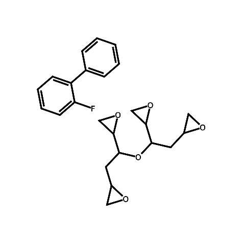 C1OC1CC(OC(CC1CO1)C1CO1)C1CO1.Fc1ccccc1-c1ccccc1